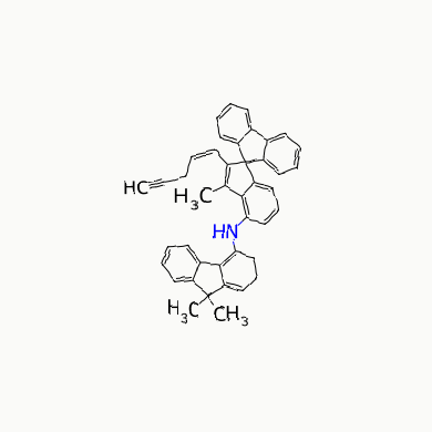 C#CC/C=C\C1=C(C)c2c(NC3=C4C(=CCC3)C(C)(C)c3ccccc34)cccc2C12c1ccccc1-c1ccccc12